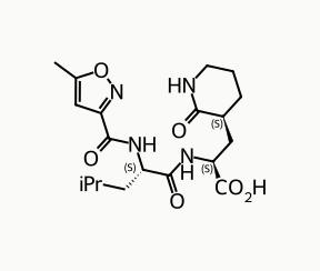 Cc1cc(C(=O)N[C@@H](CC(C)C)C(=O)N[C@@H](C[C@@H]2CCCNC2=O)C(=O)O)no1